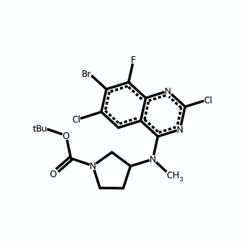 CN(c1nc(Cl)nc2c(F)c(Br)c(Cl)cc12)C1CCN(C(=O)OC(C)(C)C)C1